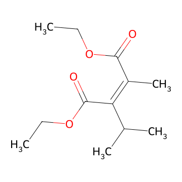 CCOC(=O)C(C)=C(C(=O)OCC)C(C)C